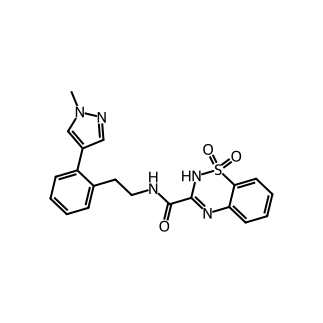 Cn1cc(-c2ccccc2CCNC(=O)C2=Nc3ccccc3S(=O)(=O)N2)cn1